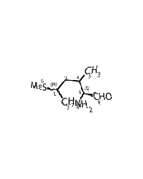 CS[C@H](C)CC(C)[C@H](N)C=O